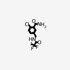 NC(=O)c1cc(CNC(=O)C(F)(F)I)ccc1Cl